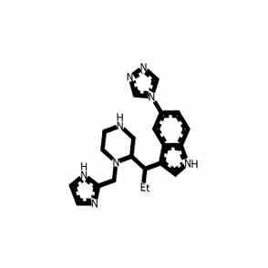 CCC(c1c[nH]c2ccc(-n3cnnc3)cc12)C1CNCCN1Cc1ncc[nH]1